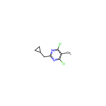 Cc1c(Cl)nc(CC2CC2)nc1Cl